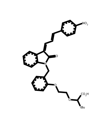 CC(C)(C)C(OCCOc1ccccc1CN1C(=O)C(=C/C=C/c2ccc([N+](=O)[O-])cc2)c2ccccc21)C(=O)O